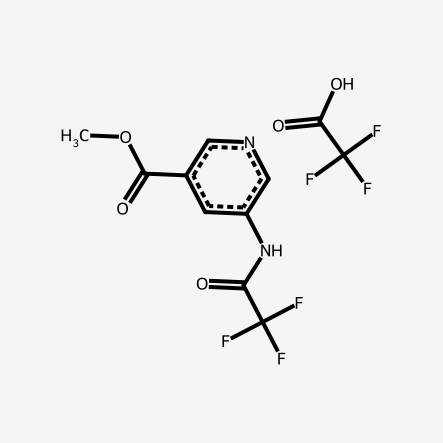 COC(=O)c1cncc(NC(=O)C(F)(F)F)c1.O=C(O)C(F)(F)F